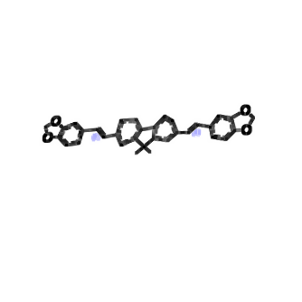 CC1(C)c2cc(/C=C/c3ccc4c(c3)OCO4)ccc2-c2ccc(/C=C/c3ccc4c(c3)OCO4)cc21